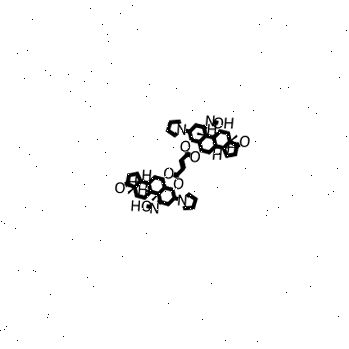 C[C@]12/C(=N\O)CC(N3CCCC3)C(OC(=O)/C=C/C(=O)OC3C(N4CCCC4)C/C(=N/O)[C@@]4(C)C3CC[C@@H]3[C@H]4CC[C@]4(C)C(=O)CC[C@@H]34)C1CC[C@@H]1[C@H]2CC[C@]2(C)C(=O)CC[C@@H]12